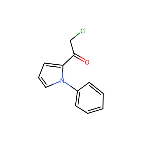 O=C(CCl)c1cccn1-c1ccccc1